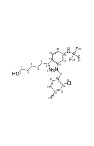 OCCCCCc1nn(Cc2ccc(F)cc2Cl)c2cc(OC(F)(F)F)ccc12